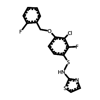 Fc1ccccc1COc1ccc(SNc2nccs2)c(F)c1Cl